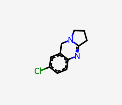 Clc1ccc2c(c1)CN1CCCC1=N2